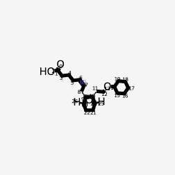 O=C(O)CCC/C=C\C[C@@H]1[C@H](CCOC2CCCCC2)[C@@H]2CC[C@H]1O2